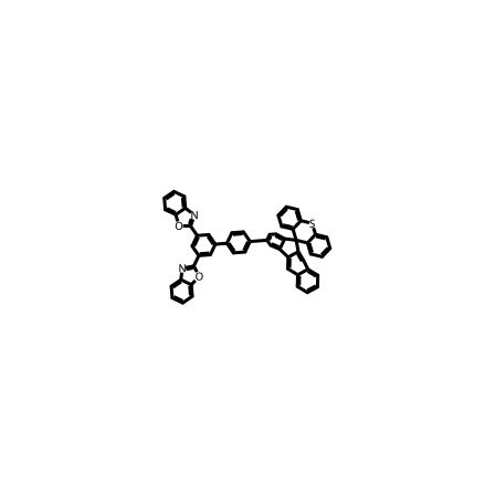 c1ccc2c(c1)Sc1ccccc1C21c2ccc(-c3ccc(-c4cc(-c5nc6ccccc6o5)cc(-c5nc6ccccc6o5)c4)cc3)cc2-c2cc3ccccc3cc21